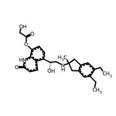 CCc1cc2c(cc1CC)CC(C)(NC[C@H](O)c1ccc(OC(=O)CO)c3[nH]c(=O)ccc13)C2